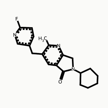 Cc1nc2c(cc1Cc1ccc(F)nc1)C(=O)N(C1CCCCC1)C2